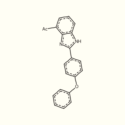 CC(=O)c1cccc2[nH]c(-c3ccc(Oc4ccccc4)cc3)nc12